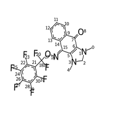 CN1CN(C)C2=C1C(=O)c1ccccc1C2=NOC(F)(F)c1c(F)c(F)c(F)c(F)c1F